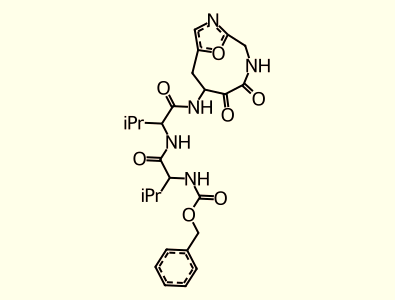 CC(C)C(NC(=O)OCc1ccccc1)C(=O)NC(C(=O)NC1Cc2cnc(o2)CNC(=O)C1=O)C(C)C